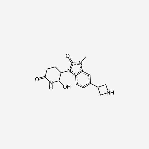 Cn1c(=O)n(C2CCC(=O)NC2O)c2ccc(C3CNC3)cc21